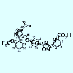 O=C(O)c1cccc(-c2noc(C34CCC(OCc5c(-c6ccccc6OC(F)(F)F)noc5C5CC5)(CC3)CC4)n2)n1